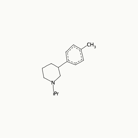 Cc1ccc(C2CCCN(C(C)C)C2)cc1